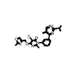 Cc1nc(COc2nc(C)n(-c3cccc(-c4nc(C(C)C)ncc4C)c3)c(=O)c2Cl)co1